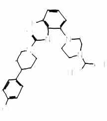 Cc1ccc(C2CCN(C(=O)Nc3c(F)cccc3N3CCN(C(C)C)CC3)CC2)cc1